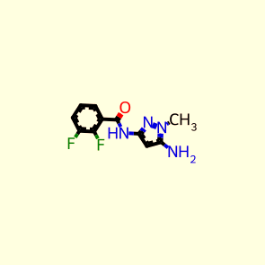 Cn1nc(NC(=O)c2cccc(F)c2F)cc1N